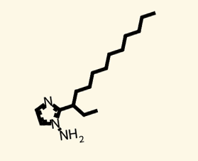 CCCCCCCCCCC(CC)c1nccn1N